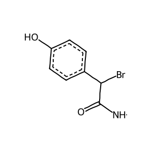 [NH]C(=O)C(Br)c1ccc(O)cc1